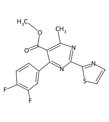 COC(=O)c1c(C)nc(-c2nccs2)nc1-c1ccc(F)c(F)c1